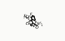 NC(=O)c1cc(C(SCCC(F)(F)F)c2c(F)ccc(F)c2F)c(Cl)cn1